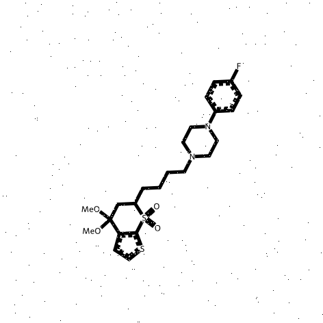 COC1(OC)CC(CCCCN2CCN(c3ccc(F)cc3)CC2)S(=O)(=O)c2sccc21